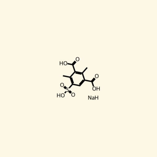 Cc1c(C(=O)O)cc(S(=O)(=O)O)c(C)c1C(=O)O.[NaH]